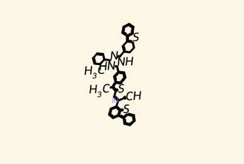 C#C/C(=C\c1sc2ccc(C3NC(C4=Cc5c(sc6ccccc56)CC4)=NC(C4C=CC=CC4C)N3)cc2c1C)c1cccc2c1sc1ccccc12